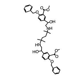 COC(=O)c1cc(C(O)CNC(C)(C)CCC(C)(C)NCC(O)c2ccc(OCc3ccccc3)c(C(=O)OC)c2)ccc1OCc1ccccc1